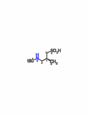 C[C@@H](CNC(C)(C)C)CS(=O)(=O)O